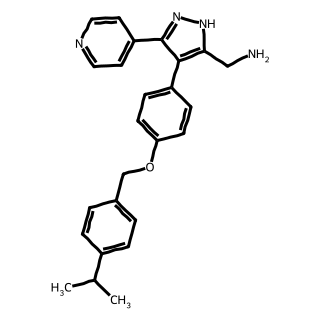 CC(C)c1ccc(COc2ccc(-c3c(-c4ccncc4)n[nH]c3CN)cc2)cc1